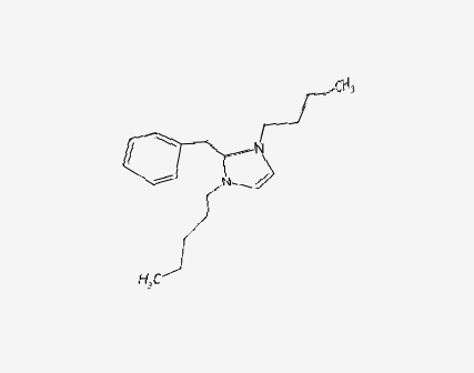 CCCCCN1C=CN(CCCC)C1Cc1ccccc1